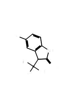 C=C1Nc2ccc(C(F)(F)F)cc2C1C(C)(C)C(C)C